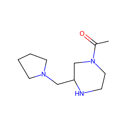 CC(=O)N1CCNC(CN2CCCC2)C1